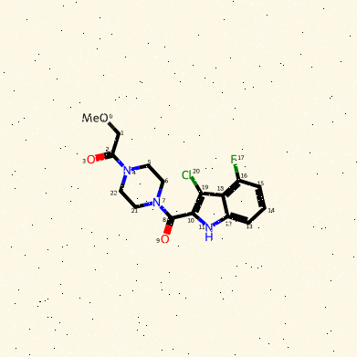 COCC(=O)N1CCN(C(=O)c2[nH]c3cccc(F)c3c2Cl)CC1